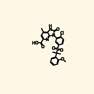 COc1ccccc1C(C)(C)S(=O)(=O)c1ccc(Cl)c(-n2c(=O)[nH]c3c(C)cc(C(=O)O)nc32)c1